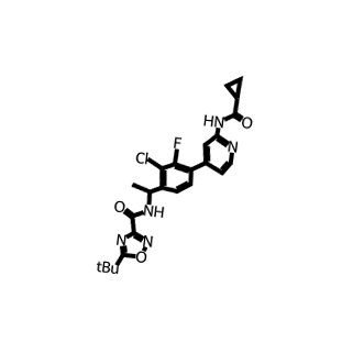 CC(NC(=O)c1noc(C(C)(C)C)n1)c1ccc(-c2ccnc(NC(=O)C3CC3)c2)c(F)c1Cl